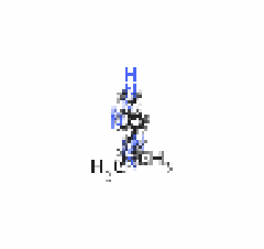 Cc1cn2cc(-c3cccc4c(N5CCNCC5)nncc34)nc2c(C)n1